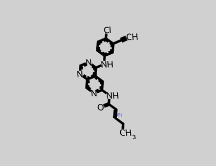 C#Cc1cc(Nc2ncnc3cnc(NC(=O)/C=C/CC)cc23)ccc1Cl